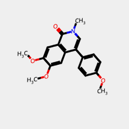 COc1ccc(-c2cn(C)c(=O)c3cc(OC)c(OC)cc23)cc1